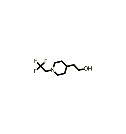 OCCC1CCN(CC(F)(F)F)CC1